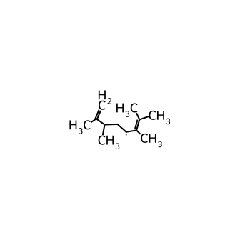 C=C(C)C(C)C[CH]C(C)=C(C)C